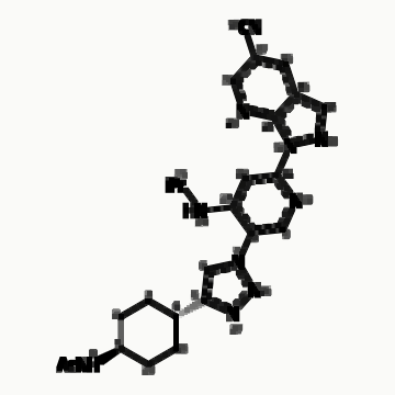 CC(=O)N[C@H]1CC[C@H](c2cn(-c3cnc(-n4ncc5cc(C#N)cnc54)cc3NC(C)C)nn2)CC1